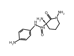 Nc1ccc(N[PH](=O)[C@@]2(N)CCCN(N)C2=O)cc1